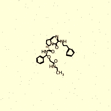 CCNC(=O)COC(NC(=O)[C@@H]1CCc2cnc(NCCc3ccccc3)c(=O)n21)c1ccccc1